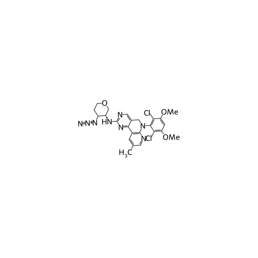 COc1cc(OC)c(Cl)c(N2Cc3cnc(N[C@@H]4COCCC4N=[N+]=[N-])nc3-c3cc(C)cnc32)c1Cl